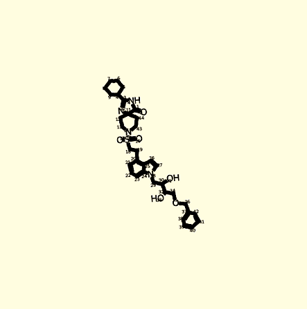 O=C1NC(C2CCCCC2)=NC12CCN(S(=O)(=O)CCc1cccc3c1ccn3CC(O)C(O)COCc1ccccc1)CC2